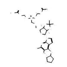 CC(C)C(=O)OCOP(=O)(CSC[C@H]1O[C@@H](n2ccc3c(NC4CCCC4)c(C#N)c(Cl)nc32)[C@@H]2OC(C)(C)O[C@@H]21)OCOC(=O)C(C)C